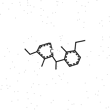 CCc1cccc(C(C)c2cccc(CC)c2C)c1C